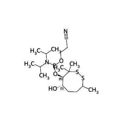 CC1CC[C@H](O)[C@@H](OP(OCCC#N)N(C(C)C)C(C)C)C(C)(C)SS1